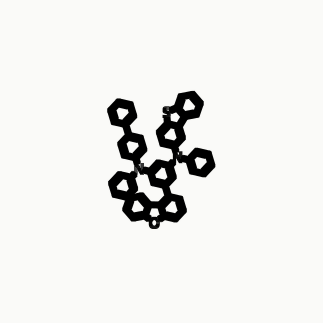 c1ccc(-c2ccc(N(c3ccccc3)c3cc(-c4cccc5oc6ccccc6c45)cc(N(c4ccccc4)c4ccc5sc6ccccc6c5c4)c3)cc2)cc1